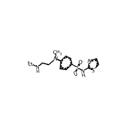 CCNCCN(C)c1ccc(S(=O)(=O)Nc2nccs2)cc1